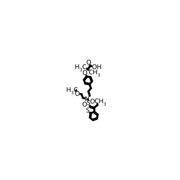 CCc1c(S(=O)(=O)N(CCCc2ccc(OC(C)(C)C(=O)O)cc2)CCOC)sc2ccccc12